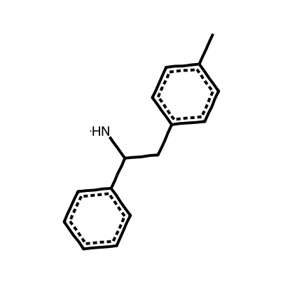 Cc1ccc(CC([NH])c2ccccc2)cc1